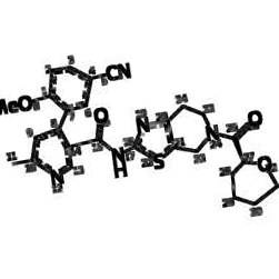 COc1ccc(C#N)cc1-c1cc(C)ncc1C(=O)Nc1nc2c(s1)CN(C(=O)[C@@H]1CCCCO1)CC2